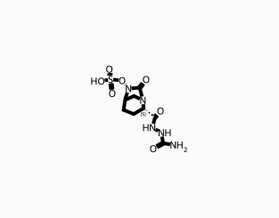 NC(=O)NNC(=O)[C@@H]1CCC2CN1C(=O)N2OS(=O)(=O)O